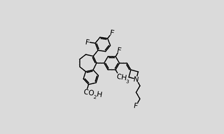 Cc1cc(C2=C(c3ccc(F)cc3F)CCCc3cc(C(=O)O)ccc32)cc(F)c1C=C1CN(CCCF)C1